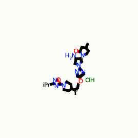 CC1CCN([C@H]2CN(c3ncc(OCC[C@@H](C)C4CCN(c5nc(C(C)C)no5)CC4)cn3)C[C@H]2N)C(=O)C1.Cl